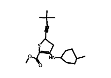 COC(=O)C1=C(NC2CCC(C)CC2)CC(C#CC(C)(C)C)S1